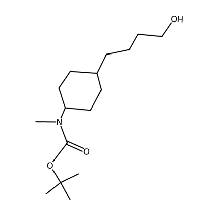 CN(C(=O)OC(C)(C)C)C1CCC(CCCCO)CC1